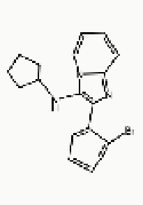 Brc1ccccc1-c1nc2ccccn2c1NC1CCCC1